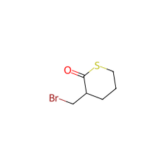 O=C1SCCCC1CBr